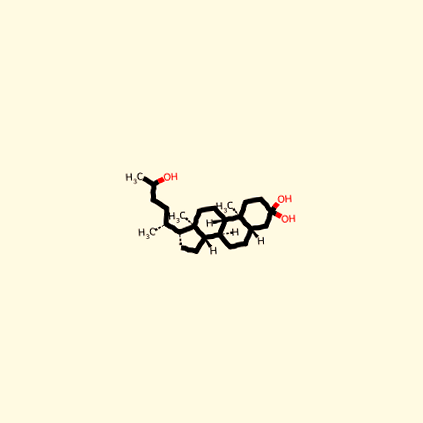 CC(O)CC[C@@H](C)[C@H]1CC[C@H]2[C@@H]3CC[C@H]4CC(O)(O)CC[C@]4(C)[C@H]3CC[C@]12C